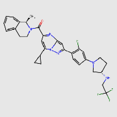 C[C@@H]1c2ccccc2CCN1C(=O)c1cc(C2CC2)n2nc(-c3ccc(N4CC[C@H](NCC(F)(F)F)C4)cc3F)cc2n1